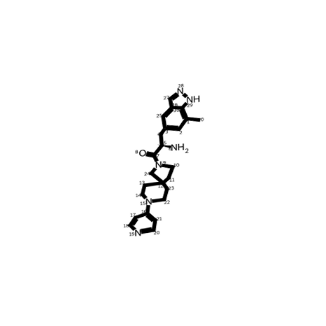 Cc1cc(C[C@@H](N)C(=O)N2CCC3(CCN(c4ccncc4)CC3)C2)cc2cn[nH]c12